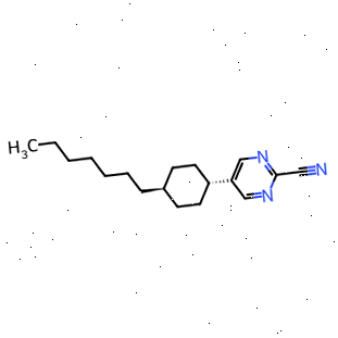 CCCCCCC[C@H]1CC[C@H](c2cnc(C#N)nc2)CC1